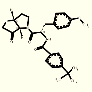 COc1ccc(C[C@H](NC(=O)c2ccc(C(C)(C)C)cc2)C(=O)N2CC[C@H]3OCC(=O)[C@H]32)cc1